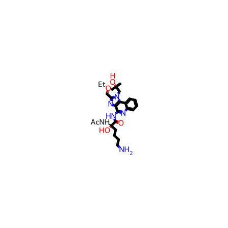 CCOCc1nc2c(NC(=O)[C@@](O)(CCCCN)NC(C)=O)nc3ccccc3c2n1CC(C)(C)O